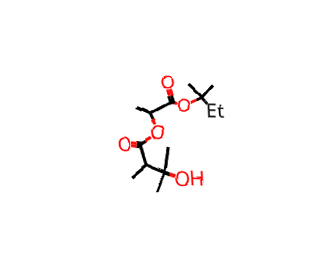 CCC(C)(C)OC(=O)C(C)OC(=O)C(C)C(C)(C)O